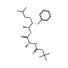 CC(C)CO[C@H](Cc1ccccc1)[C@H](C)OC(=O)[C@H](C)NC(=O)OC(C)(C)C